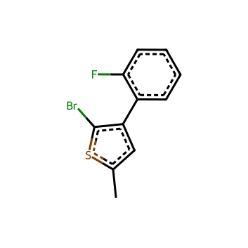 Cc1cc(-c2ccccc2F)c(Br)s1